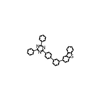 c1ccc(-c2nc(-c3ccccc3)nc(-c3ccc(-c4cccc(-c5ccc6sc7ccccc7c6c5)c4)cc3)n2)cc1